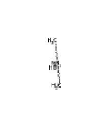 CCCCCCCCCCCCCCCCC(CCCCCCCCCCCC)C(=O)O.N